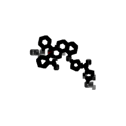 Cc1ncc(C(=O)N2CCC(Oc3cccc4c3[C@@H](CN3C(=O)c5ccccc5C3=O)N(C(=O)C3CCCCC3C(=O)O)CC4)C2)s1